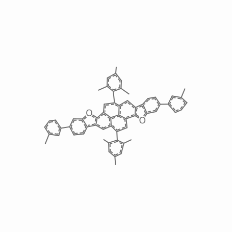 Cc1cccc(-c2ccc3c(c2)oc2c3cc3c(-c4c(C)cc(C)cc4C)cc4c5oc6cc(-c7cccc(C)c7)ccc6c5cc5c(-c6c(C)cc(C)cc6C)cc2c3c54)c1